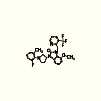 COc1cccc2c1n(Cc1ncccc1C(F)(F)F)c(=O)n2[C@@H]1CCN(c2c(C)cccc2F)C1